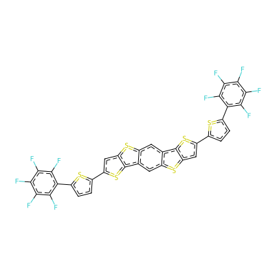 Fc1c(F)c(F)c(-c2ccc(-c3cc4sc5cc6c(cc5c4s3)sc3cc(-c4ccc(-c5c(F)c(F)c(F)c(F)c5F)s4)sc36)s2)c(F)c1F